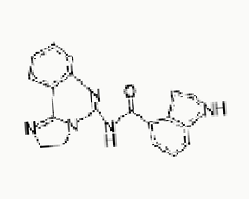 O=C(NC1=Nc2ccccc2C2=NCCN12)c1cccc2[nH]ccc12